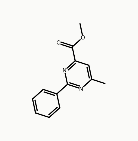 COC(=O)c1cc(C)nc(-c2ccccc2)n1